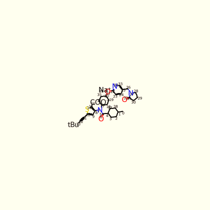 CC1CCC(C(=O)N(c2cc(C#CC(C)(C)C)sc2C(=O)[O-])C2CCC(Oc3ccc(CN4CCCC4=O)cn3)CC2)CC1.[Na+]